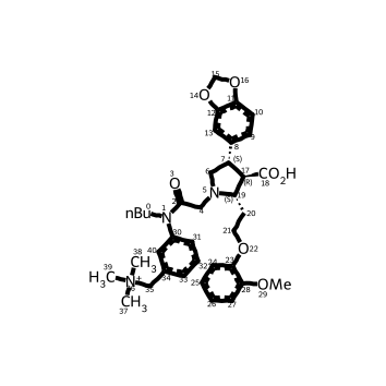 CCCCN(C(=O)CN1C[C@H](c2ccc3c(c2)OCO3)[C@@H](C(=O)O)[C@@H]1CCOc1ccccc1OC)c1cccc(C[N+](C)(C)C)c1